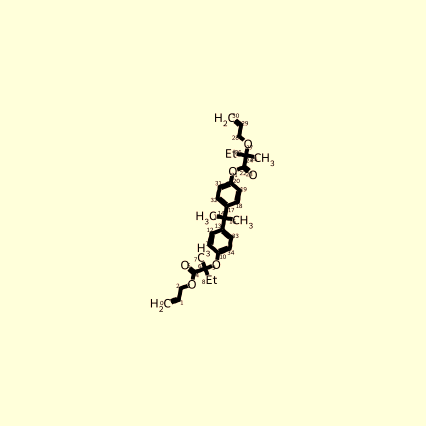 C=CCOC(=O)C(C)(CC)Oc1ccc(C(C)(C)c2ccc(OC(=O)C(C)(CC)OCC=C)cc2)cc1